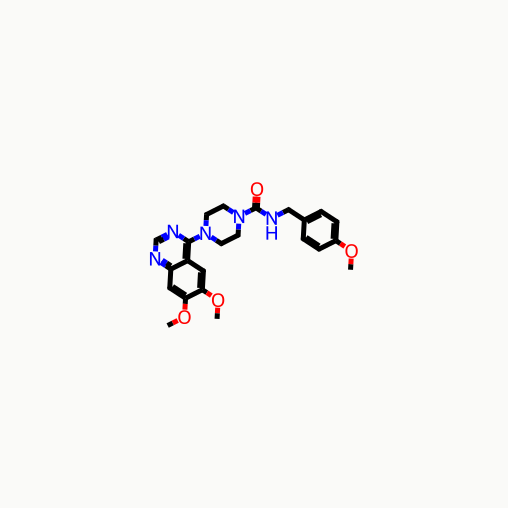 COc1ccc(CNC(=O)N2CCN(c3ncnc4cc(OC)c(OC)cc34)CC2)cc1